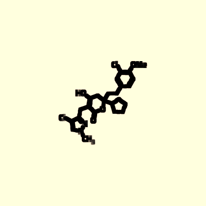 COc1ccc(CCC2(C3CCCC3)CC(O)=C(Cc3nn(C)cc3Cl)C(=O)O2)cc1Cl